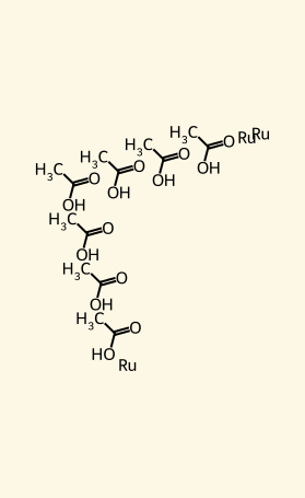 CC(=O)O.CC(=O)O.CC(=O)O.CC(=O)O.CC(=O)O.CC(=O)O.CC(=O)O.[Ru].[Ru].[Ru]